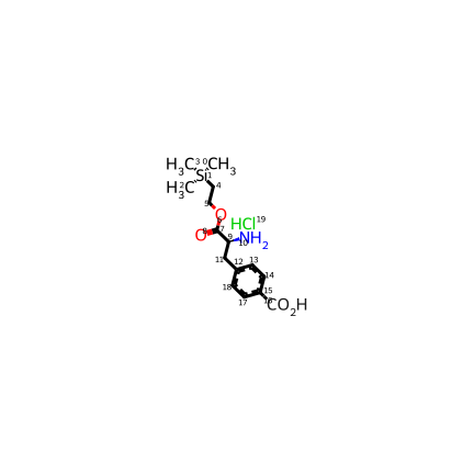 C[Si](C)(C)CCOC(=O)[C@@H](N)Cc1ccc(C(=O)O)cc1.Cl